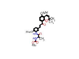 COc1ccc(/C=C/C(=O)c2ccc(OC)c3c2OC(C)(C)C=C3)cc1NC(=O)C(C)NC(=O)OC(C)(C)C